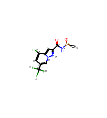 C[S+]([O-])NC(=O)c1cc2c(Cl)cc(C(F)(F)F)cn2n1